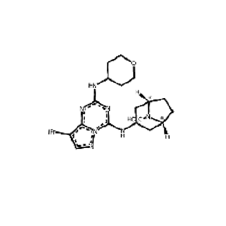 CC(C)c1cnn2c(NC3C[C@H]4CC[C@@H](C3)N4C(=O)O)nc(NC3CCOCC3)nc12